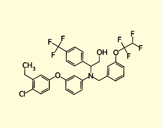 CCc1cc(Oc2cccc(N(Cc3cccc(OC(F)(F)C(F)F)c3)C(CO)c3ccc(C(F)(F)F)cc3)c2)ccc1Cl